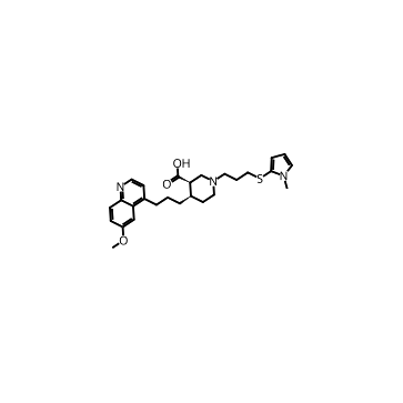 COc1ccc2nccc(CCC[C@@H]3CCN(CCCSc4cccn4C)C[C@@H]3C(=O)O)c2c1